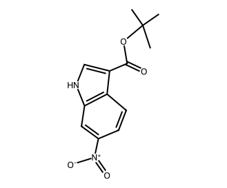 CC(C)(C)OC(=O)c1c[nH]c2cc([N+](=O)[O-])ccc12